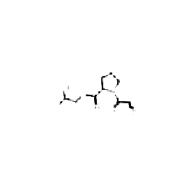 C=CC(=O)N1CCCC1C(=O)OCC(C)C